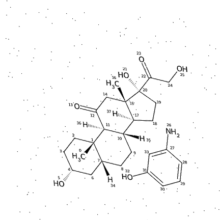 C[C@]12CC[C@@H](O)C[C@H]1CC[C@@H]1[C@@H]2C(=O)C[C@@]2(C)[C@H]1CC[C@]2(O)C(=O)CO.Nc1cccc(O)c1